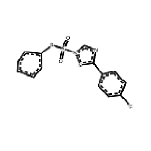 O=S(=O)(Oc1ccccc1)n1cnc(-c2ccc(F)cc2)n1